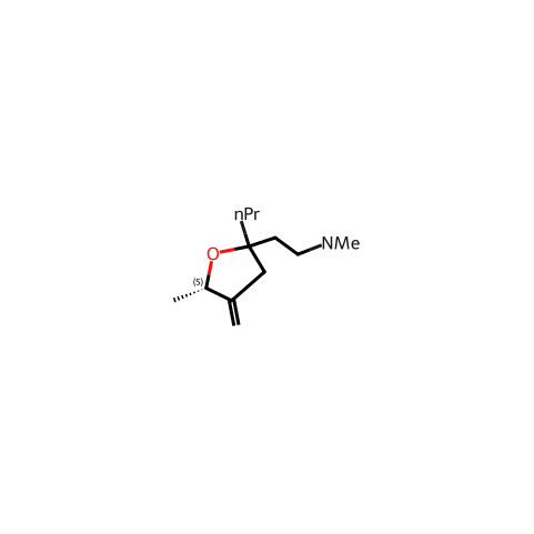 C=C1CC(CCC)(CCNC)O[C@H]1C